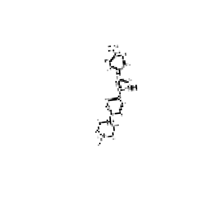 CN1CCN(c2ccc(-c3nc(-c4ccc(Cl)cc4)c[nH]3)cn2)CC1